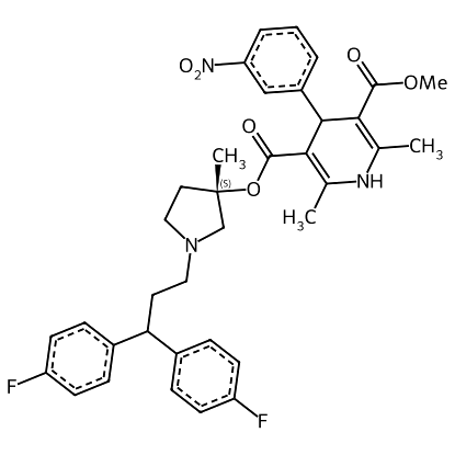 COC(=O)C1=C(C)NC(C)=C(C(=O)O[C@@]2(C)CCN(CCC(c3ccc(F)cc3)c3ccc(F)cc3)C2)C1c1cccc([N+](=O)[O-])c1